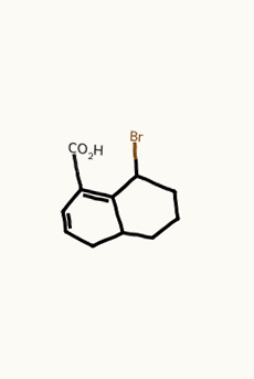 O=C(O)C1=C2C(Br)CCCC2CC=C1